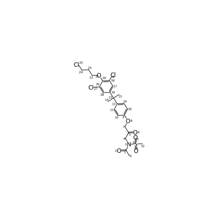 CC(=O)N(CC(=O)COc1ccc(C(C)(C)c2cc(Cl)c(OCCCCl)c(Cl)c2)cc1)S(C)(=O)=O